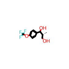 C[C@H](CO)C(O)c1ccc(OC(F)(F)F)cc1